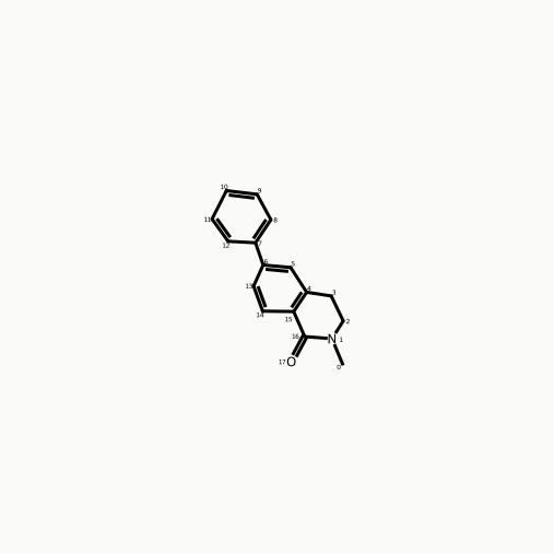 CN1CCc2cc(-c3ccccc3)ccc2C1=O